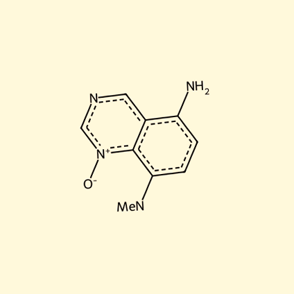 CNc1ccc(N)c2cnc[n+]([O-])c12